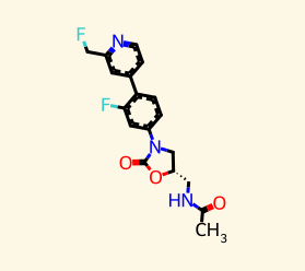 CC(=O)NC[C@H]1CN(c2ccc(-c3ccnc(CF)c3)c(F)c2)C(=O)O1